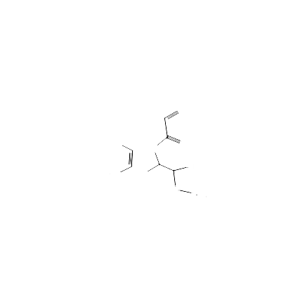 C=CC(=O)OC(CC)C(C)O[SiH3].O=C(O)/C=C\C(=O)O